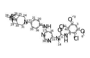 COc1cc(OC)c(Cl)c(NC(=O)N(C)c2cc(Nc3ccc(N4CC5CN(C)CC(C4)C5(F)F)cc3)ncn2)c1Cl